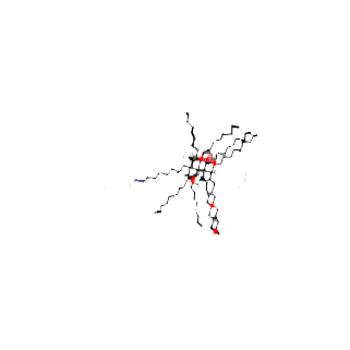 C=CCCCCCCCC(=O)C(CCCCCCC/C=C/CCCCCCCC)(C(=O)CCCCCCCC=C)C(C(=O)CCCCCCCC=C)(C(=O)CCCCCCCC=C)C(C(=O)CCCCCCCC=C)(C(=O)CCCCCCCC=C)C(C(=O)O)(C(=O)CCCCCCCC=C)C(=O)CCCCCCCC=C